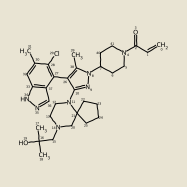 C=CC(=O)N1CCC(n2nc(N3CCN(CC(C)(C)O)CC34CCCC4)c(-c3c(Cl)c(C)cc4[nH]ncc34)c2C)CC1